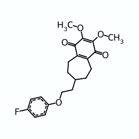 COC1=C(OC)C(=O)C2=C(CCC(CCOc3ccc(F)cc3)CC2)C1=O